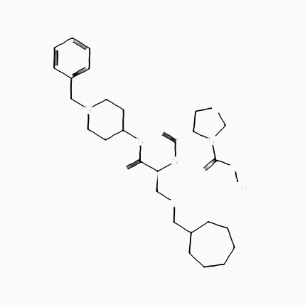 CC(C)(C)OC(=O)N1CSC[C@H]1C(=O)N[C@@H](CSCC1CCCCCC1)C(=O)NC1CCN(Cc2ccccc2)CC1